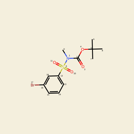 CN(C(=O)OC(C)(C)C)S(=O)(=O)c1cccc(Br)c1